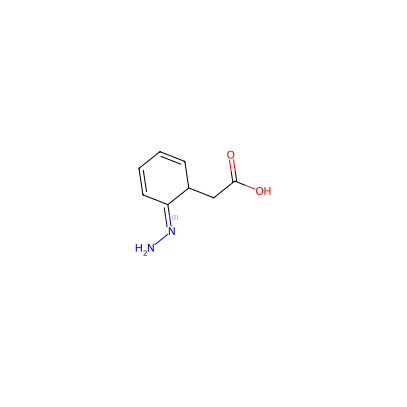 N/N=C1\C=CC=CC1CC(=O)O